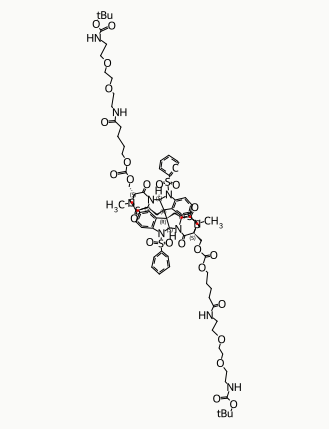 CN1C(=O)[C@@]23C[C@]4([C@]56C[C@@]78SS[C@@](COC(=O)OCCCCC(=O)NCCOCCOCCNC(=O)OC(C)(C)C)(C(=O)N7[C@H]5N(S(=O)(=O)c5ccccc5)c5ccccc56)N(C)C8=O)c5ccccc5N(S(=O)(=O)c5ccccc5)[C@@H]4N2C(=O)[C@]1(COC(=O)OCCCCC(=O)NCCOCCOCCNC(=O)OC(C)(C)C)SS3